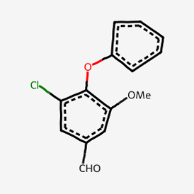 COc1cc(C=O)cc(Cl)c1Oc1ccccc1